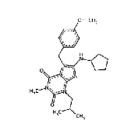 COc1ccc(Cn2c(NC3CCCC3)nc3c2c(=O)n(C)c(=O)n3CC(C)C)cc1